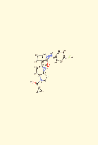 O=C(C1CC1)N1CCc2nc(C3(C(=O)Nc4ccc(F)cc4)CCC3)ccc21